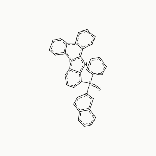 S=P(c1ccccc1)(c1ccc2ccccc2c1)c1cccc2c1nc1c3ccccc3c3ccccc3n21